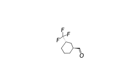 O=C[C@H]1CCC[C@H](C(F)(F)F)C1